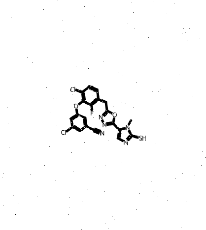 Cn1c(-c2nnc(Cc3ccc(Cl)c(Oc4cc(Cl)cc(C#N)c4)c3F)o2)cnc1S